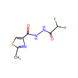 Cc1nc(C(=O)NNC(=O)C(F)F)cs1